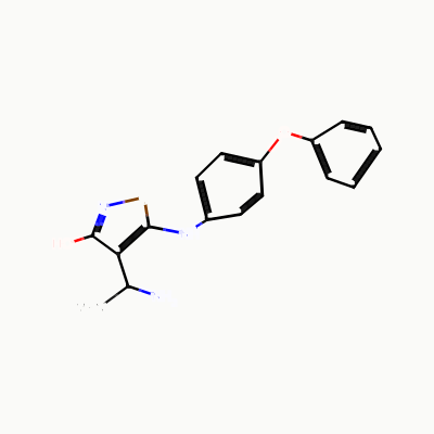 CNC(N)c1c(O)nsc1Nc1ccc(Oc2ccccc2)cc1